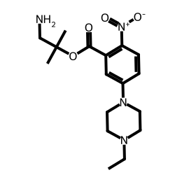 CCN1CCN(c2ccc([N+](=O)[O-])c(C(=O)OC(C)(C)CN)c2)CC1